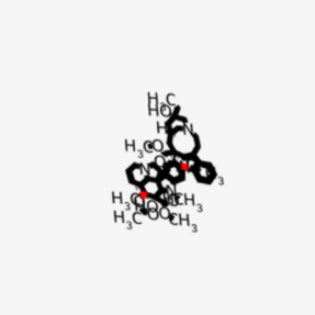 CC[C@]1(O)C[C@@H]2CN(CCc3c([nH]c4ccccc34)[C@@](C(=O)OC)(c3cc4c(cc3OC)N(C)[C@@H]3C45CCN4CC=C[C@](CC)(C45)[C@@H](OC(C)=O)C3(O)C(=O)OC)C2)C1